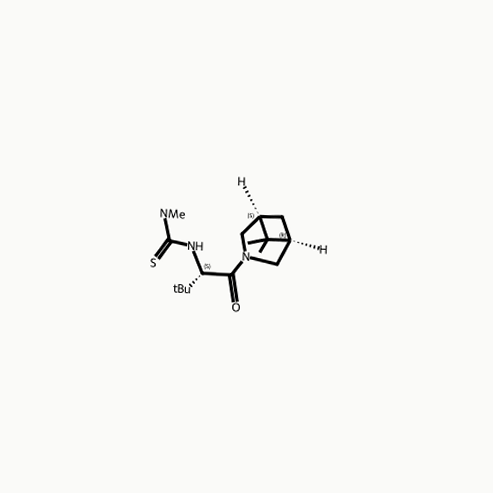 CNC(=S)N[C@H](C(=O)N1C[C@H]2C[C@@H](C1)C2(C)C)C(C)(C)C